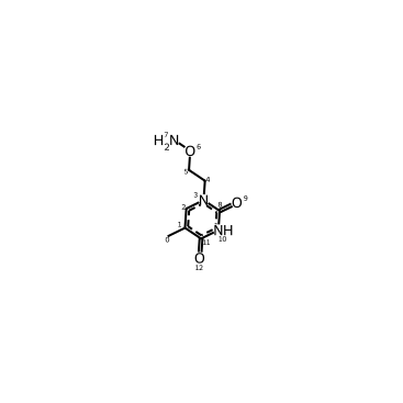 Cc1cn(CCON)c(=O)[nH]c1=O